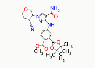 COC(=O)c1ccc(Nc2nn(C3COCCC3C#N)cc2C(N)=O)cc1B1OC(C)(C)C(C)(C)O1